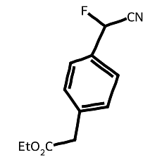 CCOC(=O)Cc1ccc(C(F)C#N)cc1